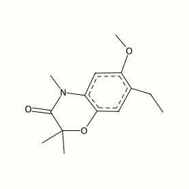 CCc1cc2c(cc1OC)N(C)C(=O)C(C)(C)O2